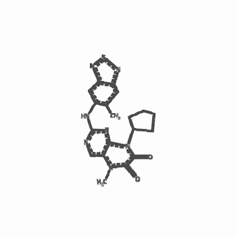 Cc1cc2nsnc2cc1Nc1ncc2c(n1)n(C1CCCC1)c(=O)c(=O)n2C